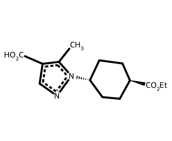 CCOC(=O)[C@H]1CC[C@H](n2ncc(C(=O)O)c2C)CC1